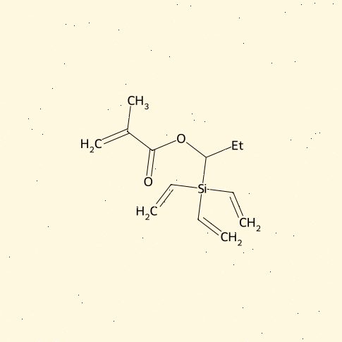 C=C[Si](C=C)(C=C)C(CC)OC(=O)C(=C)C